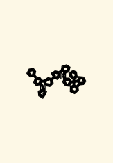 c1ccc(-c2ccc3c(c2)c2cc(-c4ccc5c6ccccc6n(-c6cccc(C7(c8ccccc8)c8ccccc8-c8ccccc87)c6)c5c4)ccc2n3-c2ccccc2)cc1